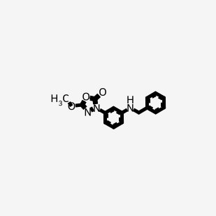 COc1nn(-c2cccc(NCc3ccccc3)c2)c(=O)o1